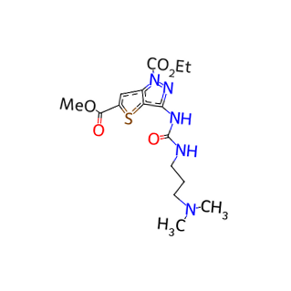 CCOC(=O)n1nc(NC(=O)NCCCN(C)C)c2sc(C(=O)OC)cc21